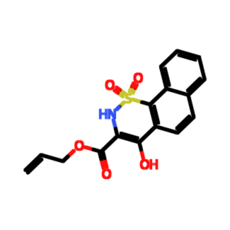 C=CCOC(=O)C1=C(O)c2ccc3ccccc3c2S(=O)(=O)N1